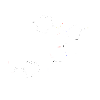 CN(CC(=O)N(C)c1ccc(C(=O)O)cc1)C(=O)C1CC(S)CN1S(=O)(=O)c1ccc(F)cc1